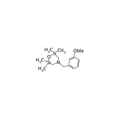 COc1cccc(CN2C[Si](C)(C)O[Si](C)(C)C2)c1